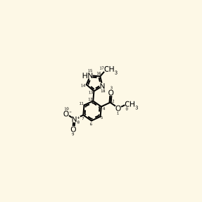 COC(=O)c1ccc([N+](=O)[O-])cc1-c1c[nH]c(C)n1